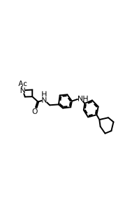 CC(=O)N1CC(C(=O)NCc2ccc(Nc3ccc(C4CCCCC4)cc3)cc2)C1